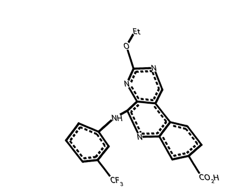 CCOc1ncc2c(n1)c(Nc1cccc(C(F)(F)F)c1)nc1cc(C(=O)O)ccc12